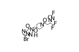 O=C(CC(C(F)F)n1ccc(F)n1)N1CCC(O)(Cn2cnn3c(Br)cnc3c2=O)CC1